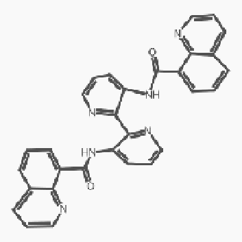 O=C(Nc1cccnc1-c1ncccc1NC(=O)c1cccc2cccnc12)c1cccc2cccnc12